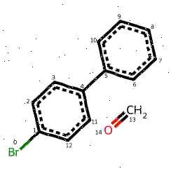 Brc1ccc(-c2ccccc2)cc1.C=O